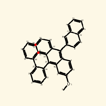 COc1ccc2c(-c3ccc4ccccc4c3)c3ccccc3c(-c3ccccc3-c3ccccc3)c2c1